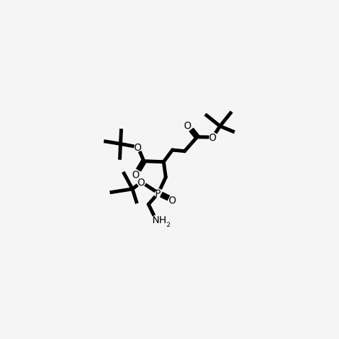 CC(C)(C)OC(=O)CCC(CP(=O)(CN)OC(C)(C)C)C(=O)OC(C)(C)C